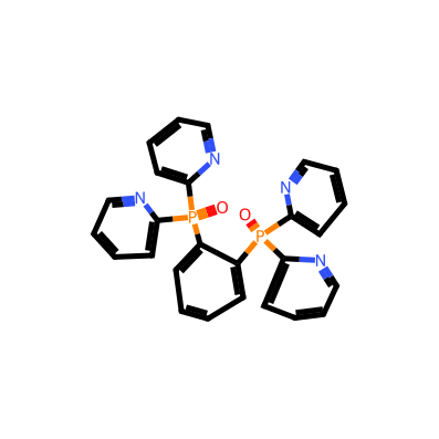 O=P(c1ccccn1)(c1ccccn1)c1ccccc1P(=O)(c1ccccn1)c1ccccn1